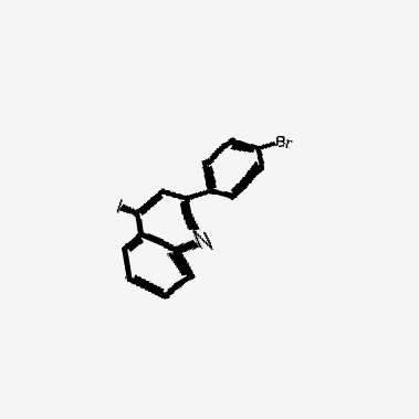 Brc1ccc(-c2cc(I)c3ccccc3n2)cc1